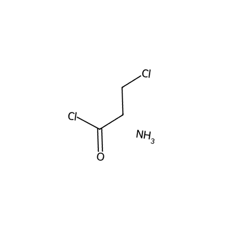 N.O=C(Cl)CCCl